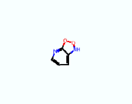 c1cnc2c(c1)NOO2